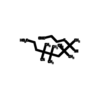 CC(C)(CC(C)(C)C(C)(S)SCCC=O)C(C)(C#N)CCC(=O)O